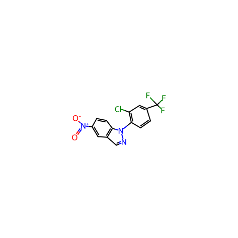 O=[N+]([O-])c1ccc2c(cnn2-c2ccc(C(F)(F)F)cc2Cl)c1